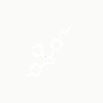 C/C=C/c1ccc(-c2nnc(-c3ccc(C)cc3)n2-c2ccccc2)cc1